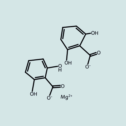 O=C([O-])c1c(O)cccc1O.O=C([O-])c1c(O)cccc1O.[Mg+2]